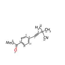 COC(=O)c1ccc(C#CC(C)(C)C#N)cc1